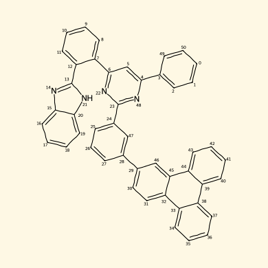 c1ccc(-c2cc(-c3ccccc3-c3nc4ccccc4[nH]3)nc(-c3cccc(-c4ccc5c6ccccc6c6ccccc6c5c4)c3)n2)cc1